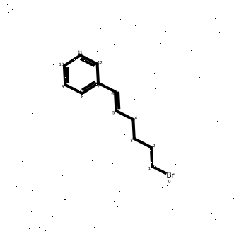 BrCCCCC=Cc1ccccc1